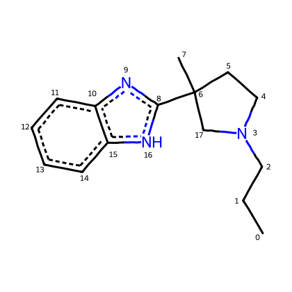 CCCN1CCC(C)(c2nc3ccccc3[nH]2)C1